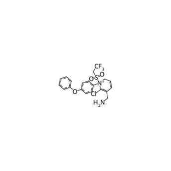 NCC1=C(Cl)[N+](c2ccc(Oc3ccccc3)cc2)(S(=O)(=O)CC(F)(F)F)CC=C1